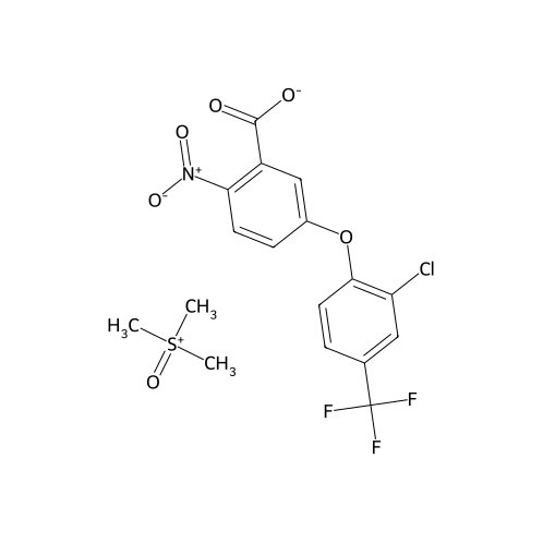 C[S+](C)(C)=O.O=C([O-])c1cc(Oc2ccc(C(F)(F)F)cc2Cl)ccc1[N+](=O)[O-]